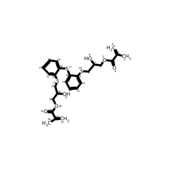 C=C(C)C(=O)OCC(O)CSc1ccccc1Sc1ccccc1SCC(O)COC(=O)C(=C)C